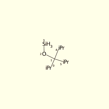 CC(C)C(O[SiH3])(C(C)C)C(C)C